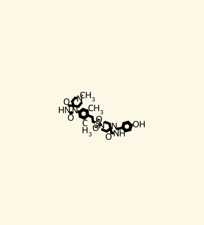 Cc1cc(N2C(=O)NC(=O)C23CCN(C)CC3)cc(C)c1CCS(=O)(=O)N1CCC2(CC1)N=C(c1ccc(O)cc1)NC2=O